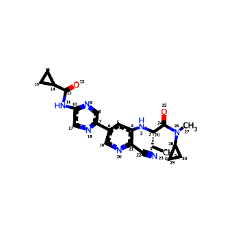 CC[C@H](Nc1cc(-c2cnc(NC(=O)C3CC3)cn2)cnc1C#N)C(=O)N(C)C1CC1